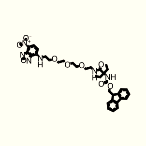 CCC(CC)(NC(=O)OCC1c2ccccc2-c2ccccc21)C(=O)NCCOCCOCCOCCNc1ccc([N+](=O)[O-])c2nonc12